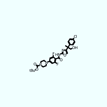 CC(C)(C)OC(=O)N1CCN(c2cc(F)c(C(=O)Nc3nc(C(C)(CO)c4ccc(Cl)cc4)co3)c(F)c2)CC1